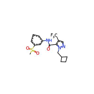 CS(=O)(=O)c1cccc(NC(=O)c2c(C(F)(F)F)cnn2CC2CCC2)c1